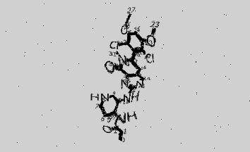 C=CC(=O)N[C@H]1CCNC[C@H]1Nc1ncc2cc(-c3c(Cl)c(OC)cc(OC)c3Cl)n(C)c(=O)c2n1